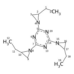 CCC1CN1c1nc(N2CC2CC)nc(N2CC2CC)n1